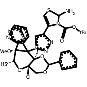 CO[C@@]1(c2ncco2)[C@@H](S)O[C@@]2(Cl)COC(c3ccccc3)O[C@@H]2C1(c1cccnc1)n1cc(C2=CSC(N)N2C(=O)OC(C)(C)C)nn1